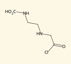 O=C(Cl)CNCCNC(=O)O